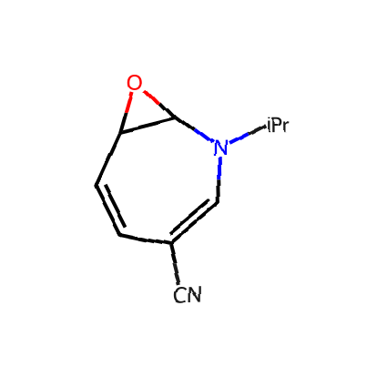 CC(C)N1C=C(C#N)C=CC2OC21